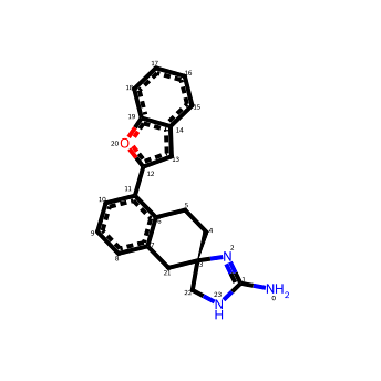 NC1=N[C@]2(CCc3c(cccc3-c3cc4ccccc4o3)C2)CN1